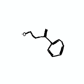 C=C(CC[O])c1ccccc1